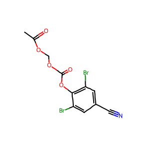 CC(=O)OCOC(=O)Oc1c(Br)cc(C#N)cc1Br